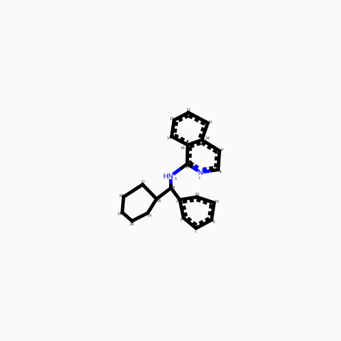 c1ccc(C(Nc2nccc3ccccc23)C2CCCCC2)cc1